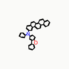 c1ccc(N(c2ccc3ccc4c(ccc5c6ccccc6ccc54)c3c2)c2ccc3oc4ccccc4c3c2)cc1